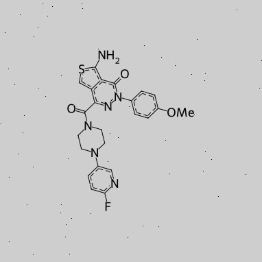 COc1ccc(-n2nc(C(=O)N3CCN(c4ccc(F)nc4)CC3)c3csc(N)c3c2=O)cc1